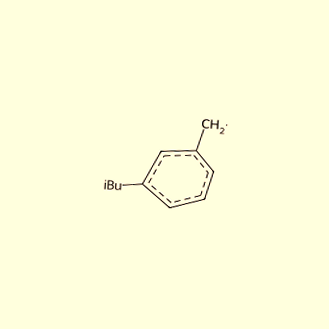 [CH2]c1cccc(C(C)CC)c1